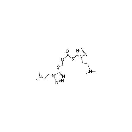 CN(C)CCn1nnnc1SCOC(=O)Sc1nnnn1CCN(C)C